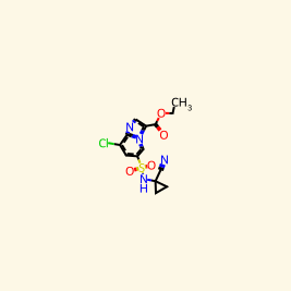 CCOC(=O)c1cnc2c(Cl)cc(S(=O)(=O)NC3(C#N)CC3)cn12